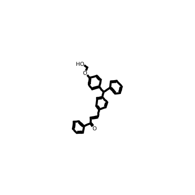 O=C(C=Cc1ccc(C(c2ccccc2)c2ccc(OCO)cc2)cc1)c1ccccc1